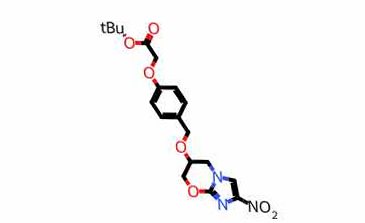 CC(C)(C)OC(=O)COc1ccc(COC2COc3nc([N+](=O)[O-])cn3C2)cc1